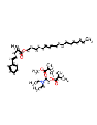 C=C(C)C(=O)OC.C=C(C)C(=O)OCCN(CC)CC.C=C(CC=Cc1ccccc1)C(=O)OCCCCCCCCCCCCCCCCCC